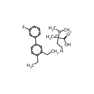 CCc1ccc(-c2cccc(F)c2)cc1CC.CN(C)[C@@](C)(CS)C(=O)O